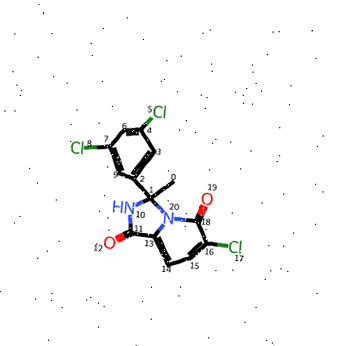 CC1(c2cc(Cl)cc(Cl)c2)NC(=O)c2ccc(Cl)c(=O)n21